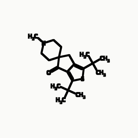 CN1CCC2(CC1)Cc1c(C(C)(C)C)sc(C(C)(C)C)c1C2=O